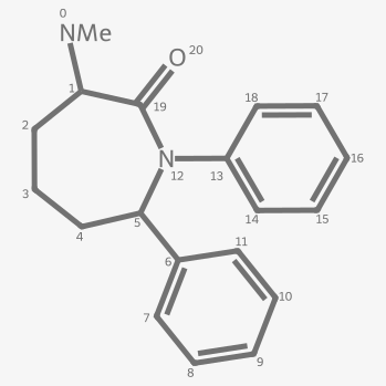 CNC1CCCC(c2ccccc2)N(c2ccccc2)C1=O